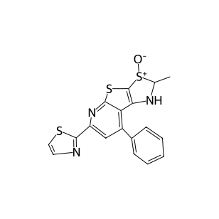 CC1Nc2c(sc3nc(-c4nccs4)cc(-c4ccccc4)c23)[S+]1[O-]